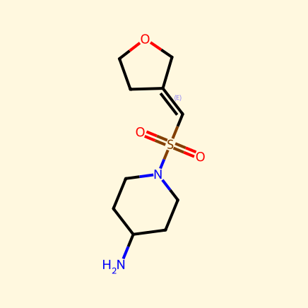 NC1CCN(S(=O)(=O)/C=C2\CCOC2)CC1